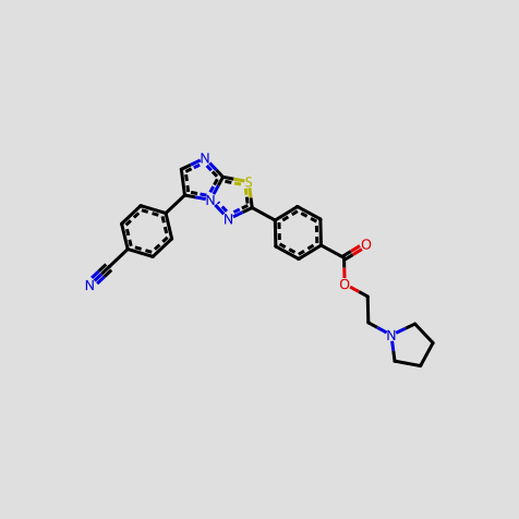 N#Cc1ccc(-c2cnc3sc(-c4ccc(C(=O)OCCN5CCCC5)cc4)nn23)cc1